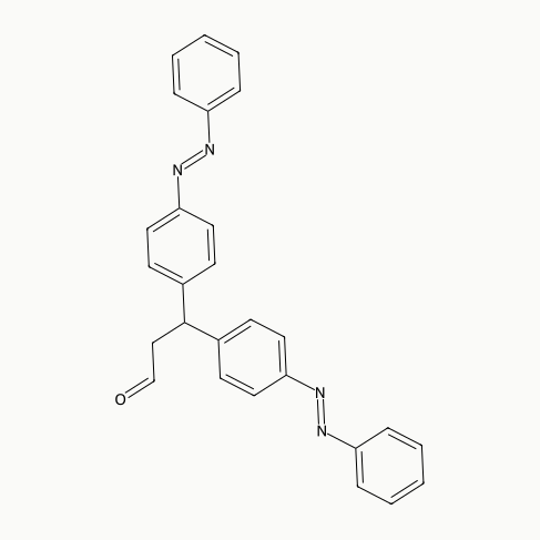 O=CCC(c1ccc(/N=N/c2ccccc2)cc1)c1ccc(/N=N/c2ccccc2)cc1